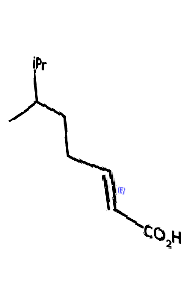 CC(C)C(C)CC/C=C/C(=O)O